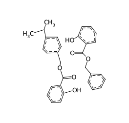 CC(C)c1ccc(COC(=O)c2ccccc2O)cc1.O=C(OCc1ccccc1)c1ccccc1O